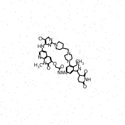 CNC(=O)COc1cc2cc(Nc3nc(N4CCC(CN5CCN(c6cccc7c(C8CCC(=O)NC8=O)nn(C)c67)CC5)CC4)ncc3Cl)cnc2n(C)c1=O